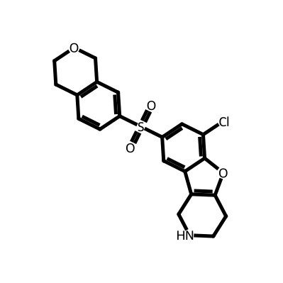 O=S(=O)(c1ccc2c(c1)COCC2)c1cc(Cl)c2oc3c(c2c1)CNCC3